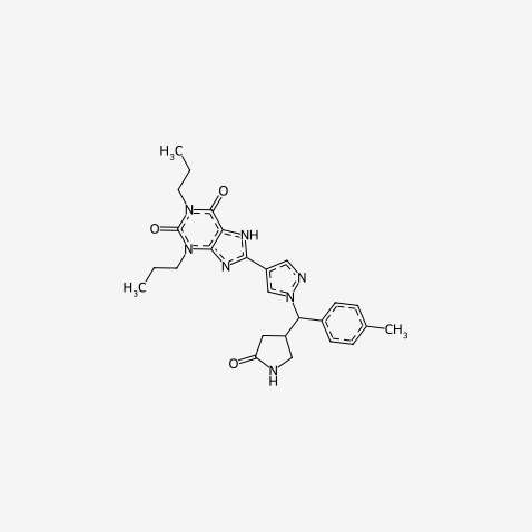 CCCn1c(=O)c2[nH]c(-c3cnn(C(c4ccc(C)cc4)C4CNC(=O)C4)c3)nc2n(CCC)c1=O